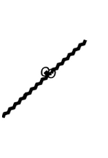 CCCCCCCCC=CCCCCCCCC(=O)OCCCCCCCCCCCCC